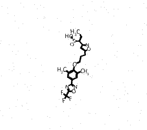 CCC(c1cc(CCCOc2c(C)cc(-c3noc(C(F)(F)F)n3)cc2C)on1)S(=O)O